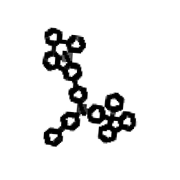 c1ccc(-c2ccc(N(c3ccc(-c4ccc5c(c4)c4cccc6c4n5-c4ccccc4-c4ccccc4-6)cc3)c3ccc(C4(c5ccccc5)c5ccccc5-c5ccccc54)cc3)cc2)cc1